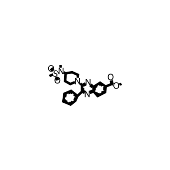 COC(=O)c1ccc2nc(-c3ccccc3)c(N3CCC(N(C)S(C)(=O)=O)CC3)nc2c1